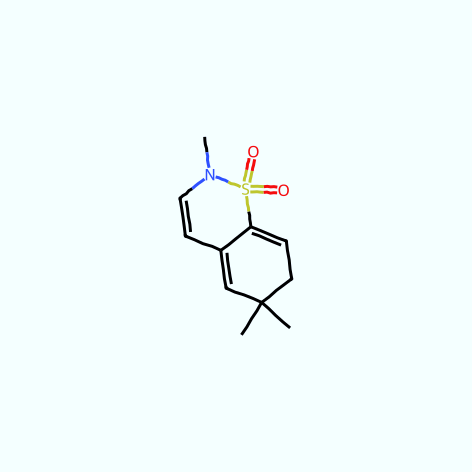 CN1C=CC2=CC(C)(C)CC=C2S1(=O)=O